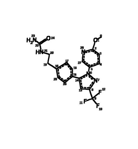 COc1ccc(-n2nc(C(F)(F)F)cc2-c2ccc(CCNC(N)=O)cc2)cn1